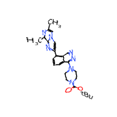 Cc1cn2cc(-c3cccc4c(N5CCN(C(=O)OC(C)(C)C)CC5)nncc34)nc2c(C)n1